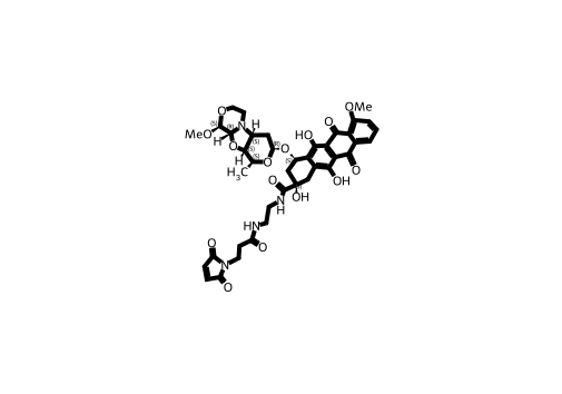 COc1cccc2c1C(=O)c1c(O)c3c(c(O)c1C2=O)C[C@@](O)(C(=O)NCCNC(=O)CCN1C(=O)C=CC1=O)C[C@@H]3O[C@H]1C[C@H]2[C@H](O[C@@H]3[C@@H](OC)OCCN32)[C@H](C)O1